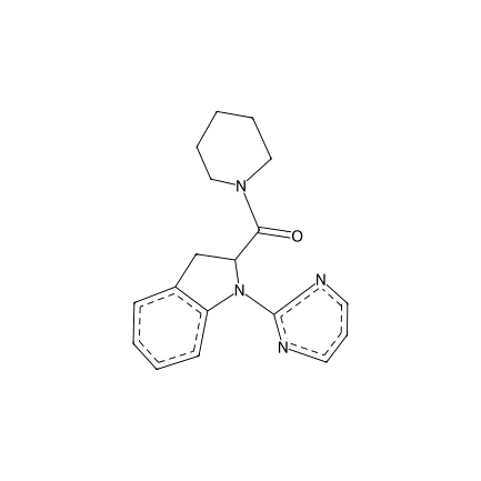 O=C(C1Cc2ccccc2N1c1ncccn1)N1CCCCC1